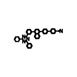 N#Cc1ccc(-c2ccc(-c3ccc(-c4cccc(-c5nc(C6=CC=CCC6)nc(-c6ccccc6)n5)c4)c4ccccc34)cc2)cc1